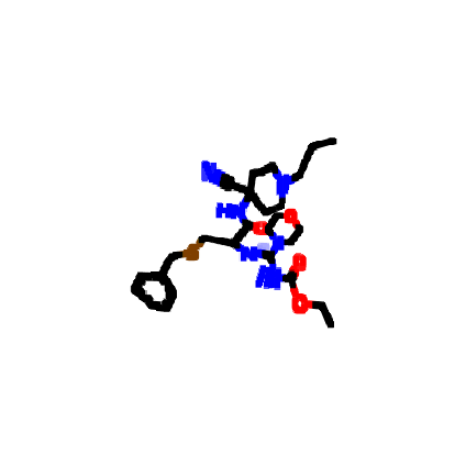 CCCN1CCC(C#N)(NC(=O)C(CSCc2ccccc2)/N=C(/NC(=O)OCC)N2CCOCC2)CC1